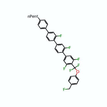 CCCCCc1ccc(-c2ccc(-c3ccc(-c4cc(F)c(C(F)(F)Oc5ccc(CF)cc5)c(F)c4)c(F)c3)c(F)c2)cc1